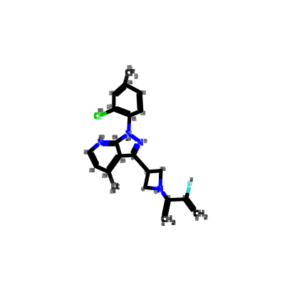 C=C(F)C(=C)N1CC(c2nn(-c3ccc(C(F)(F)F)cc3Cl)c3nccc(CC)c23)C1